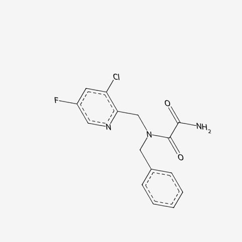 NC(=O)C(=O)N(Cc1ccccc1)Cc1ncc(F)cc1Cl